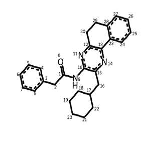 O=C(Cc1ccccc1)Nc1nc2c(nc1CC1CCCCC1)-c1ccccc1CC2